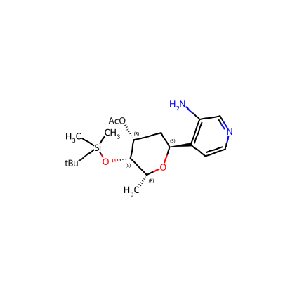 CC(=O)O[C@@H]1C[C@@H](c2ccncc2N)O[C@H](C)[C@@H]1O[Si](C)(C)C(C)(C)C